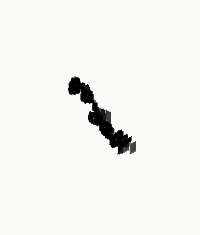 O=C(NCC[C@@H]1CCN(Cc2ccccc2)C1)C1CCN(c2ccc(OC(F)(F)F)cc2)CC1